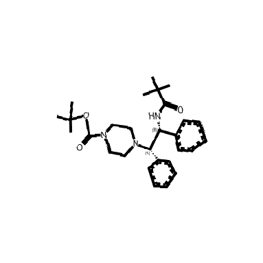 CC(C)(C)OC(=O)N1CCN([C@@H](c2ccccc2)[C@H](NC(=O)C(C)(C)C)c2ccccc2)CC1